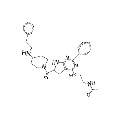 CC(=O)NCCNc1nc(-c2ccccc2)nc2c1CC(C(=O)N1CCC(NCCc3ccccc3)CC1)N2